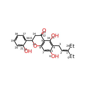 CCC(=CCc1c(O)cc2c(c1O)C(=O)CC(c1ccccc1O)O2)CC